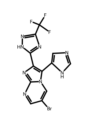 FC(F)(F)c1n[nH]c(-c2nc3ncc(Br)cn3c2-c2cnc[nH]2)n1